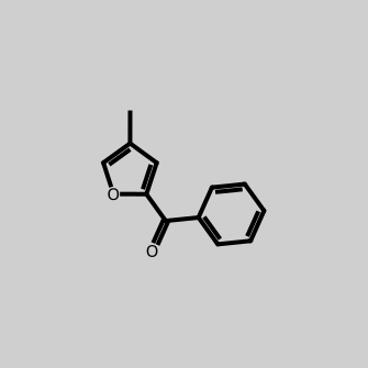 Cc1coc(C(=O)c2ccccc2)c1